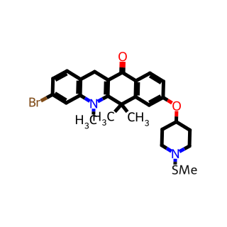 CSN1CCC(Oc2ccc3c(c2)C(C)(C)C2=C(Cc4ccc(Br)cc4N2C)C3=O)CC1